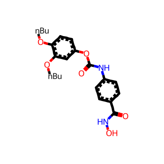 CCCCOc1ccc(OC(=O)Nc2ccc(C(=O)NO)cc2)cc1OCCCC